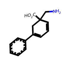 NCC1(C(=O)O)C=CC=C(c2ccccc2)C1